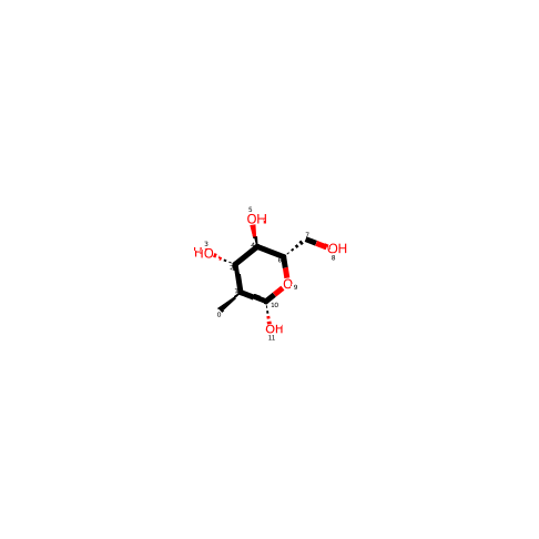 C[C@H]1[C@H](O)[C@@H](O)[C@H](CO)O[C@@H]1O